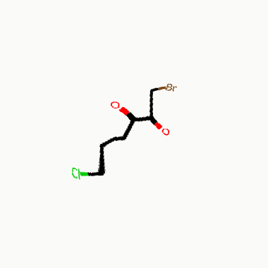 O=C(CBr)C(=O)CCCCl